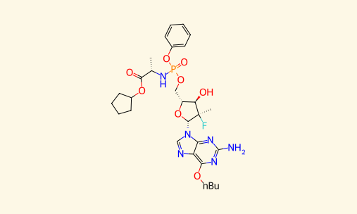 CCCCOc1nc(N)nc2c1ncn2[C@@H]1O[C@H](COP(=O)(N[C@@H](C)C(=O)OC2CCCC2)Oc2ccccc2)[C@@H](O)[C@@]1(C)F